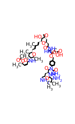 CC(=O)O.CC(=O)O[C@@H](C)/C=C\C(=O)N[C@@H]1C[C@H](C)[C@H](C/C=C(C)/C=C/[C@H]2O[C@H](CC(=O)NNC(=O)OCc3ccc(N(C(N)=O)C(=O)[C@H](CCCN)NC(=O)[C@@H](N)C(C)C)cc3)C[C@@]3(CO3)[C@@H]2O)O[C@@H]1C